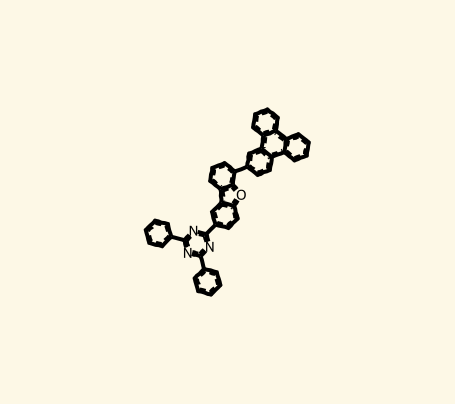 c1ccc(-c2nc(-c3ccccc3)nc(-c3ccc4oc5c(-c6ccc7c8ccccc8c8ccccc8c7c6)cccc5c4c3)n2)cc1